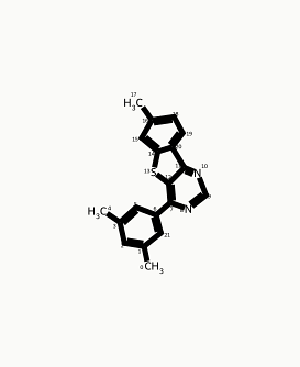 Cc1cc(C)cc(-c2ncnc3c2sc2cc(C)ccc23)c1